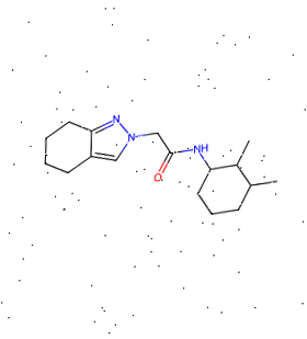 CC1CCCC(NC(=O)Cn2cc3c(n2)CCCC3)C1C